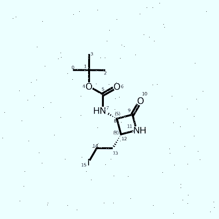 CC(C)(C)OC(=O)N[C@@H]1C(=O)N[C@@H]1CCI